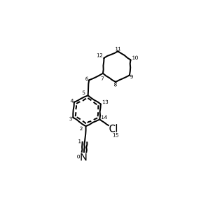 N#Cc1ccc(CC2CCCCC2)cc1Cl